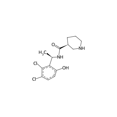 C[C@@H](NC(=O)[C@H]1CCCNC1)c1c(O)ccc(Cl)c1Cl